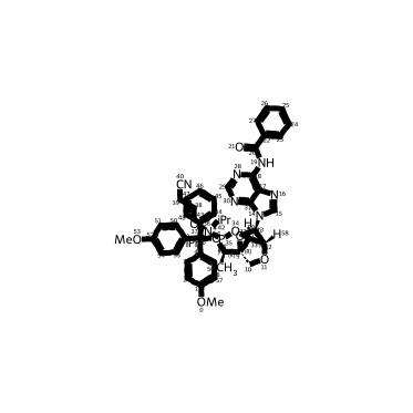 COc1ccc(C(O[C@H](C)[C@@]23CO[C@@H]([C@H](n4cnc5c(NC(=O)c6ccccc6)ncnc54)O2)[C@@H]3OP[N+](OCCC#N)(C(C)C)C(C)C)(c2ccccc2)c2ccc(OC)cc2)cc1